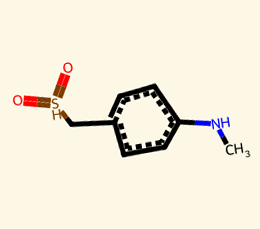 CNc1ccc(C[SH](=O)=O)cc1